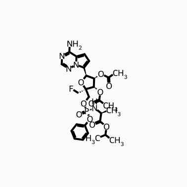 CC(=O)O[C@H]1[C@H](c2ccc3c(N)ncnn23)O[C@](CF)(CO[P@@](=O)(N[C@@H](C)C(=O)OC(C)C)Oc2ccccc2)[C@H]1OC(C)=O